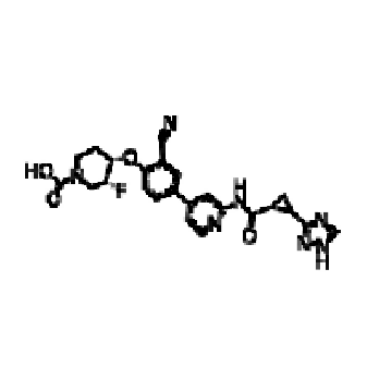 N#Cc1cc(-c2ccnc(NC(=O)C3CC3c3nc[nH]n3)c2)ccc1O[C@H]1CCN(C(=O)O)C[C@H]1F